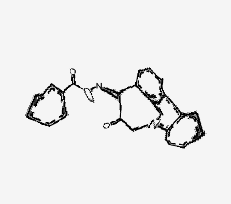 O=C1Cn2c3ccccc3c3cccc(c32)/C1=N/OC(=O)c1ccccc1